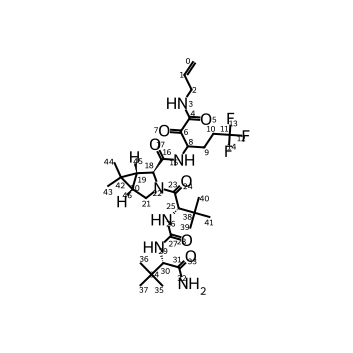 C=CCNC(=O)C(=O)C(CCC(F)(F)F)NC(=O)[C@@H]1[C@@H]2[C@H](CN1C(=O)[C@@H](NC(=O)N[C@H](C(N)=O)C(C)(C)C)C(C)(C)C)C2(C)C